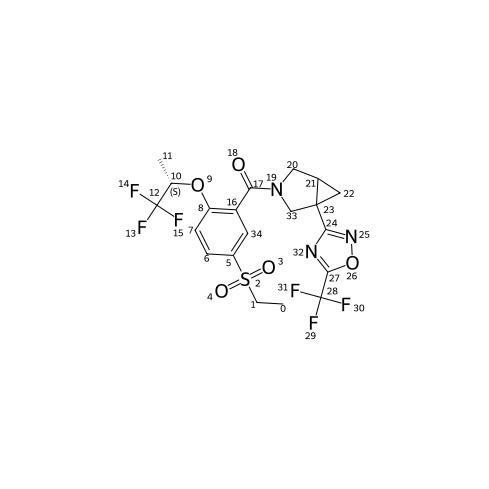 CCS(=O)(=O)c1ccc(O[C@@H](C)C(F)(F)F)c(C(=O)N2CC3CC3(c3noc(C(F)(F)F)n3)C2)c1